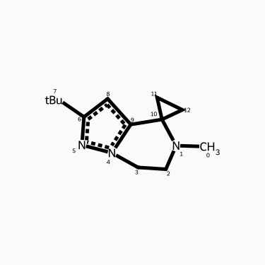 CN1CCn2nc(C(C)(C)C)cc2C12CC2